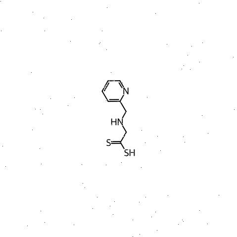 S=C(S)CNCc1ccccn1